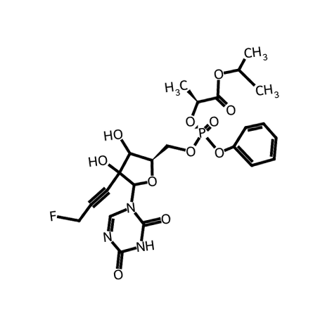 CC(C)OC(=O)[C@H](C)O[P@](=O)(OC[C@H]1OC(n2cnc(=O)[nH]c2=O)C(O)(C#CCF)C1O)Oc1ccccc1